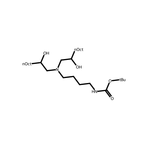 CCCCCCCCC(O)CN(CCCCNC(=O)OC(C)(C)C)CC(O)CCCCCCCC